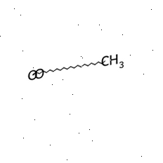 CCCCCCCCCCCCCCCCCCCOC=O